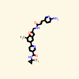 Nc1ccc(/C=C/C(=O)NCc2cc3cc(-c4ccc(C(=O)NC5(C(F)(F)F)CC5)cn4)cc(C(F)(F)F)c3o2)cn1